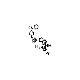 CC(C)c1cc(Nc2ccc3ncc(-c4cnn(CC5CCN(C(=O)C6CCCCC6)CC5)c4)cc3n2)n(C)c1